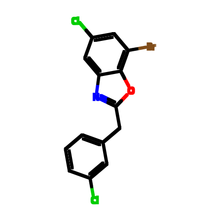 Clc1cccc(Cc2nc3cc(Cl)cc(Br)c3o2)c1